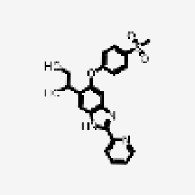 CS(=O)(=O)c1ccc(Oc2cc3nc(-c4ccccn4)[nH]c3cc2C(O)CO)cc1